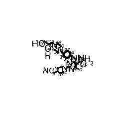 Cc1nc(N2CCC(CC#N)CC2)nc(Nc2ccc(N3CCN(CC(O)CO)CC3)cc2)c1C(N)=O